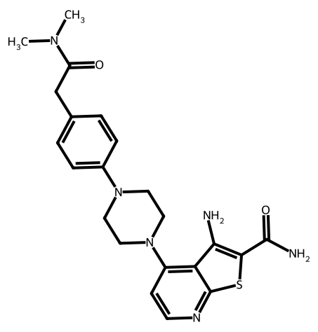 CN(C)C(=O)Cc1ccc(N2CCN(c3ccnc4sc(C(N)=O)c(N)c34)CC2)cc1